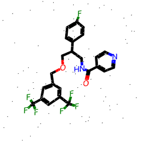 O=C(NCC(COCc1cc(C(F)(F)F)cc(C(F)(F)F)c1)c1ccc(F)cc1)c1ccncc1